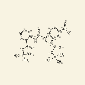 CC(C)(C)OC(=O)c1ccccc1NC(=O)c1cn(C(=O)OC(C)(C)C)c2cc([N+](=O)[O-])ccc12